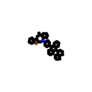 C=C1CC2/C(=C\N(c3ccc(-c4c5ccccc5c(-c5cccc6ccccc56)c5ccccc45)cc3)c3ccccc31)Sc1ccccc12